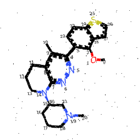 COc1c(-c2nnc3c(c2C)CCCN3[C@@H]2CCCN(C)C2)ccc2sccc12